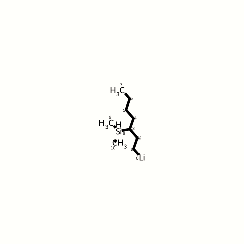 [Li][CH2]CC(CCCC)[SiH](C)C